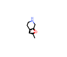 Cc1cc2c(o1)CNCC2